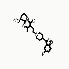 Cc1nc2n(c(=O)c1CCN1CCC(c3noc4ccc(F)cc34)CC1)CCCC2O